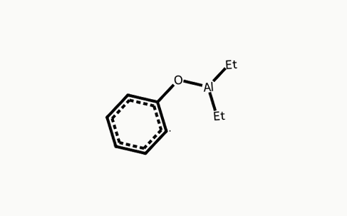 C[CH2][Al]([CH2]C)[O]c1[c]cccc1